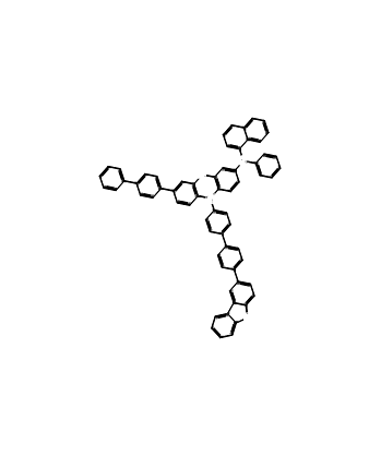 c1ccc(-c2ccc(-c3ccc4c(c3)Sc3cc(N(c5ccccc5)c5cccc6ccccc56)ccc3N4c3ccc(-c4ccc(-c5ccc6sc7ccccc7c6c5)cc4)cc3)cc2)cc1